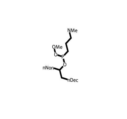 CCCCCCCCCCCC(CCCCCCCCC)OP(CCCNC)OOC